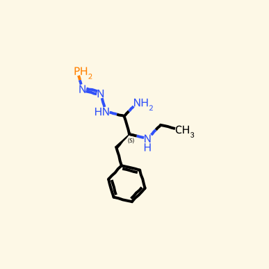 CCN[C@@H](Cc1ccccc1)C(N)NN=NP